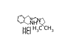 CC1(C)CCN(C[C@@H]2Cc3ccccc3CN2)C1.Cl.Cl